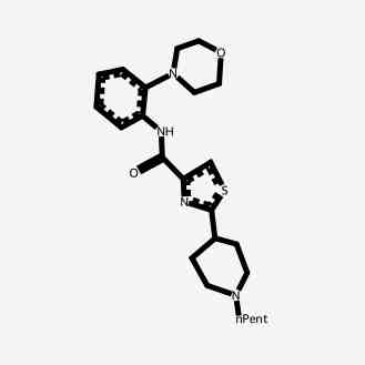 CCCCCN1CCC(c2nc(C(=O)Nc3ccccc3N3CCOCC3)cs2)CC1